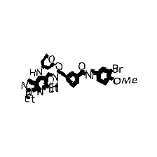 CCc1nc2c(cnn2CC)c(NC2CCOCC2)c1CNC(=O)c1cccc(C(=O)NCc2ccc(OC)c(Br)c2)c1